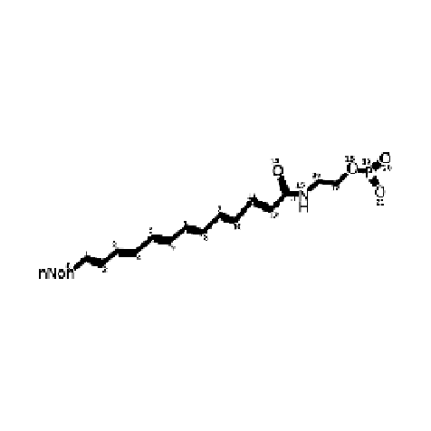 CCCCCCCCCC=CC=CC=CC=CC=CC=CC(=O)NCCOP(=O)=O